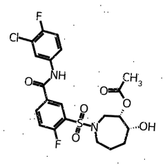 CC(=O)O[C@H]1CN(S(=O)(=O)c2cc(C(=O)Nc3ccc(F)c(Cl)c3)ccc2F)CCC[C@H]1O